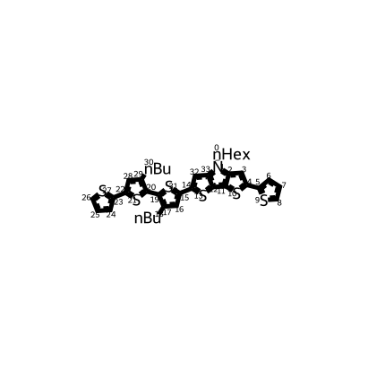 CCCCCCn1c2cc(-c3cccs3)sc2c2sc(-c3cc(CCCC)c(-c4sc(-c5cccs5)cc4CCCC)s3)cc21